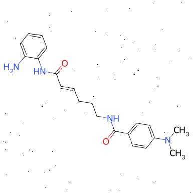 CN(C)c1ccc(C(=O)NCCCC=CC(=O)Nc2ccccc2N)cc1